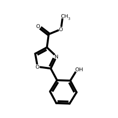 COC(=O)c1coc(-c2ccccc2O)n1